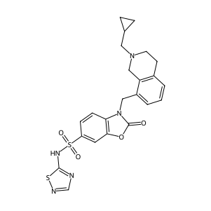 O=c1oc2cc(S(=O)(=O)Nc3ncns3)ccc2n1Cc1cccc2c1CN(CC1CC1)CC2